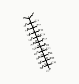 CC(I)C(F)(F)C(F)(F)C(F)(F)C(F)(F)C(F)(F)C(F)(F)C(F)(F)C(F)(F)C(F)(F)C(F)(F)F